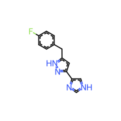 Fc1ccc(Cc2cc(-c3c[nH]cn3)n[nH]2)cc1